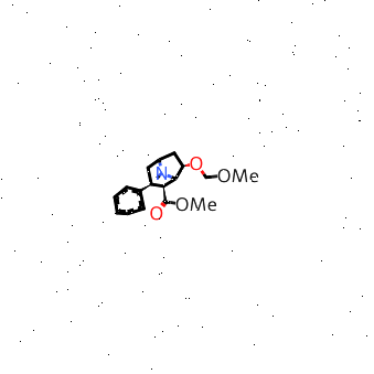 COCO[C@@H]1CC2C[C@H](c3ccccc3)[C@H](C(=O)OC)C1N2C